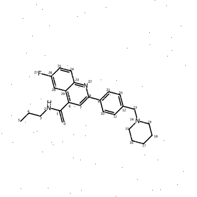 C=C(NCCC)c1cc(-c2ccc(CN3CCCCC3)cc2)nc2ccc(F)cc12